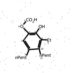 CCCCCc1cc(OC(=O)O)c(O)c(CC)c1CCCCC